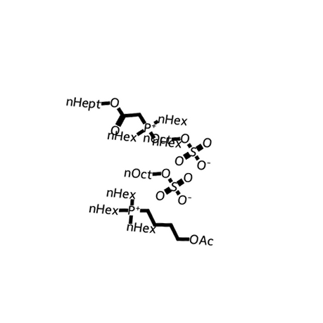 CCCCCCCCOS(=O)(=O)[O-].CCCCCCCCOS(=O)(=O)[O-].CCCCCCCOC(=O)C[P+](CCCCCC)(CCCCCC)CCCCCC.CCCCCC[P+](CCCCCC)(CCCCCC)CCCCOC(C)=O